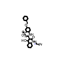 CC(C)/C=N/n1c(=O)c(C2=NS(=O)(=O)c3cc(OCc4ccccc4)ccc3N2)c(O)c2ccccc21